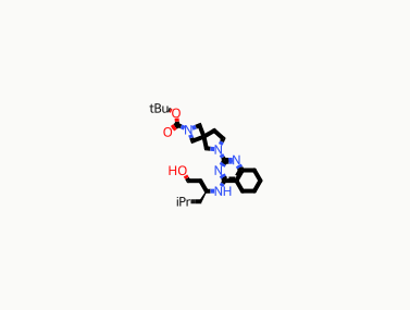 CC(C)C[C@@H](CCO)Nc1nc(N2CCC3(CN(C(=O)OC(C)(C)C)C3)C2)nc2c1CCCC2